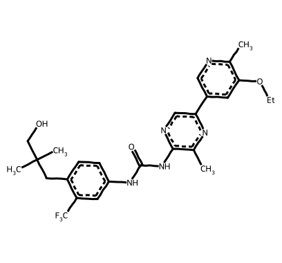 CCOc1cc(-c2cnc(NC(=O)Nc3ccc(CC(C)(C)CO)c(C(F)(F)F)c3)c(C)n2)cnc1C